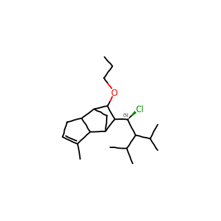 CCCOC1C2CC(C3C(C)=CCC23)C1[C@@H](Cl)C(C(C)C)C(C)C